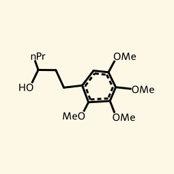 CCCC(O)CCc1cc(OC)c(OC)c(OC)c1OC